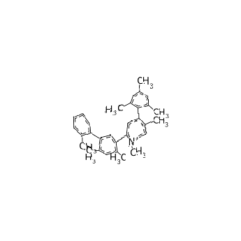 Cc1cc(C)c(-c2cc(-c3cc(-c4ccccc4C)c(C)cc3C)[n+](C)cc2C)c(C)c1